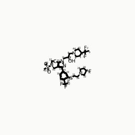 CC(F)(F)C1CCN(C[C@H](O)Cn2nc(-c3ccc(C(F)(F)F)c(SCCN4CC[C@H](F)C4)c3)c3c2CCN(S(C)(=O)=O)C3)CC1